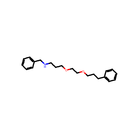 c1ccc(CCCOCCOCCCNCc2ccccc2)cc1